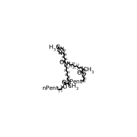 CCCCC/C=C\COC(=O)C(C)CCCCCCCCN(CCCCCCCC(C)C(=O)OC/C=C\CCCCC)C(=O)CCCN1CCN(C)CC1